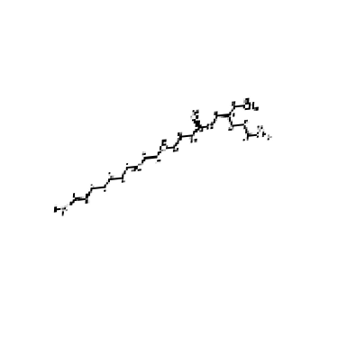 CCCCCCCCOCCOCCCC(=O)OCC(CC)CCCC